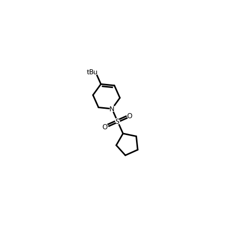 CC(C)(C)C1=CCN(S(=O)(=O)C2CCCC2)CC1